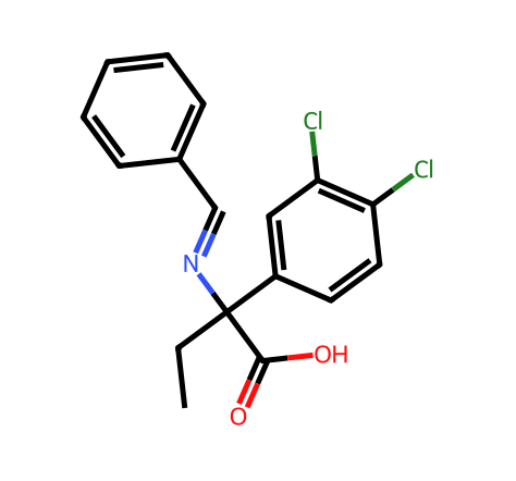 CCC(/N=C/c1ccccc1)(C(=O)O)c1ccc(Cl)c(Cl)c1